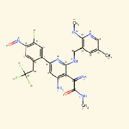 CNC(=O)C(=N)c1c(N)cc(-c2cc(F)c(N=O)cc2CC(F)(F)F)nc1NCc1cc(C)cnc1NC